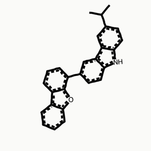 CC(C)c1ccc2[nH]c3ccc(-c4cccc5c4oc4ccccc45)cc3c2c1